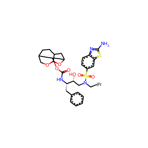 CC(C)CN(C[C@@H](O)[C@H](Cc1ccccc1)NC(=O)OC1C2CCC3CC1OC3OC2)S(=O)(=O)c1ccc2nc(N)sc2c1